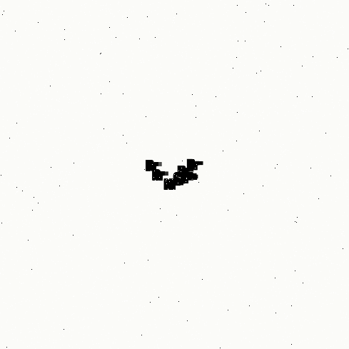 [Br-].[Br-].[Br-].[Br-].[Cu+2].[Ni+2]